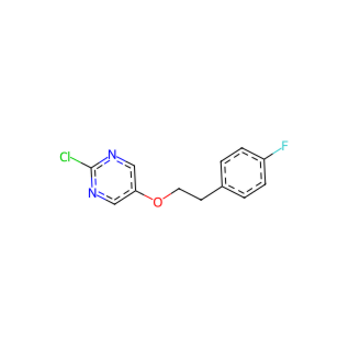 Fc1ccc(CCOc2cnc(Cl)nc2)cc1